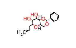 C=CCC1O[C@@H]2CO[C@@H](c3ccccc3)O[C@H]2[C@H](O)[C@H]1O